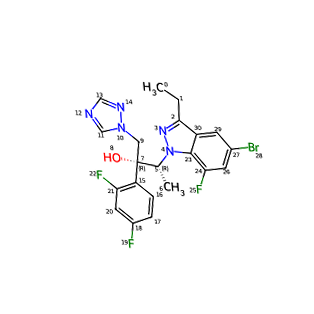 CCc1nn([C@H](C)[C@](O)(Cn2cncn2)c2ccc(F)cc2F)c2c(F)cc(Br)cc12